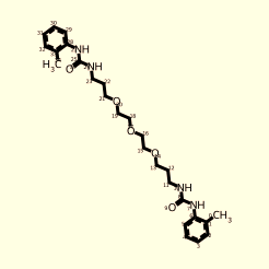 Cc1ccccc1NC(=O)NCCCOCCOCCOCCCNC(=O)Nc1ccccc1C